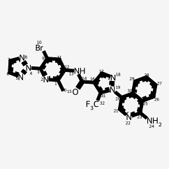 Cc1nc(-n2nccn2)c(Br)cc1NC(=O)c1cnn(-c2cnc(N)c3ccccc23)c1C(F)(F)F